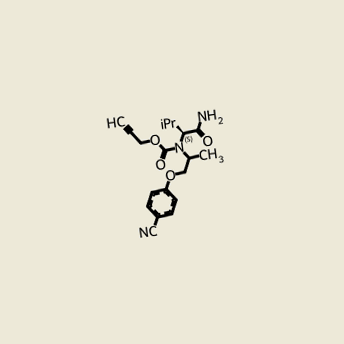 C#CCOC(=O)N(C(C)COc1ccc(C#N)cc1)[C@H](C(N)=O)C(C)C